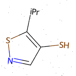 CC(C)c1sncc1S